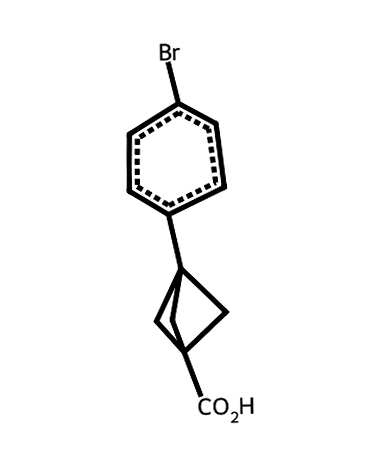 O=C(O)C12CC(c3ccc(Br)cc3)(C1)C2